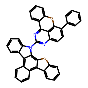 c1ccc(-c2ccc3nc(-n4c5ccccc5c5c6ccccc6c6c7ccccc7sc6c54)nc4c3c2Sc2ccccc2-4)cc1